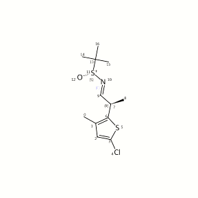 Cc1cc(Cl)sc1[C@H](C)/C=N/[S@+]([O-])C(C)(C)C